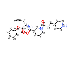 C#CC[C@H](NC(=O)[C@@H]1CCCN(C(=O)CCC2CCNCC2)C1)C(=O)Oc1ccccc1